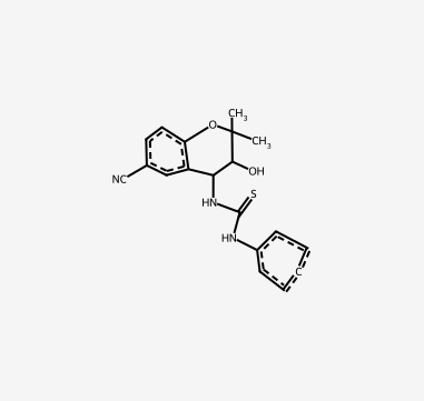 CC1(C)Oc2ccc(C#N)cc2C(NC(=S)Nc2ccccc2)C1O